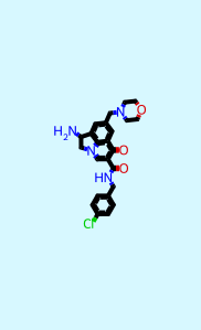 NC1Cn2cc(C(=O)NCc3ccc(Cl)cc3)c(=O)c3cc(CN4CCOCC4)cc1c32